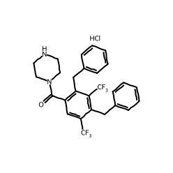 Cl.O=C(c1cc(C(F)(F)F)c(Cc2ccccc2)c(C(F)(F)F)c1Cc1ccccc1)N1CCNCC1